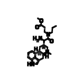 CCCN(CCC(=O)OC)C(=O)C(N)[C@@H]1C[C@@H]2c3cccc4[nH]cc(c34)C[C@H]2N(C)C1